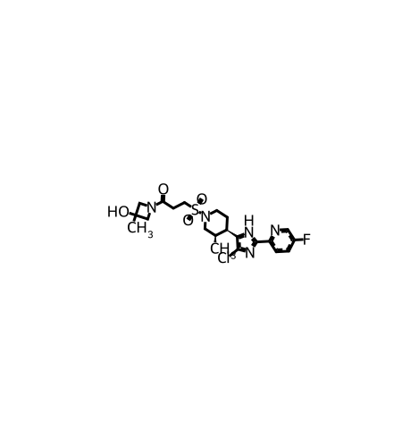 C[C@H]1CN(S(=O)(=O)CCC(=O)N2CC(C)(O)C2)CC[C@H]1c1[nH]c(-c2ccc(F)cn2)nc1Cl